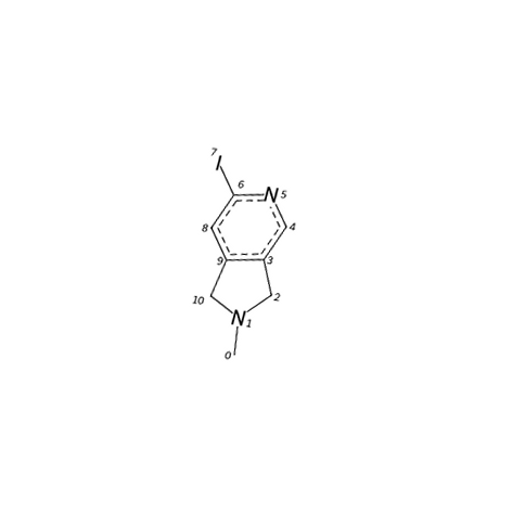 CN1Cc2cnc(I)cc2C1